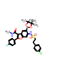 CNC(=O)c1c(-c2ccc(F)cc2)oc2cc(NS(=O)(=O)CCc3ccc(Cl)cc3)c(B3OC(C)(C)C(C)(C)O3)cc12